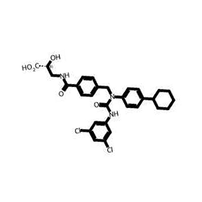 O=C(NC[C@@H](O)C(=O)O)c1ccc(CN(C(=O)Nc2cc(Cl)cc(Cl)c2)c2ccc(C3CCCCC3)cc2)cc1